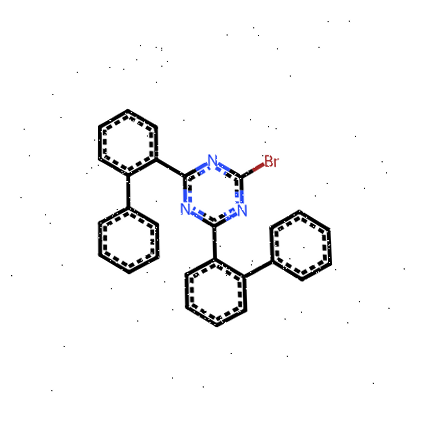 Brc1nc(-c2ccccc2-c2ccccc2)nc(-c2ccccc2-c2ccccc2)n1